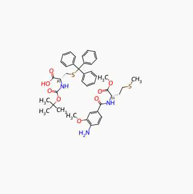 CC(C)(C)OC(=O)N[C@@H](CSC(c1ccccc1)(c1ccccc1)c1ccccc1)C(=O)O.COC(=O)[C@H](CCSC)NC(=O)c1ccc(N)c(OC)c1